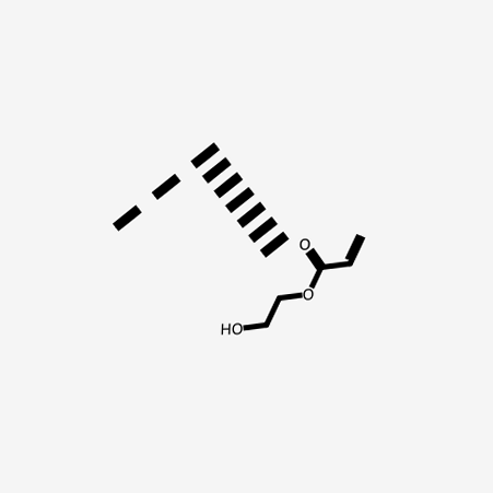 C=C.C=C.C=C.C=C.C=C.C=C.C=C.C=C.C=C.C=CC(=O)OCCO